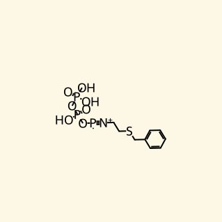 O=P(O)(O)OP(=O)(O)O[P]#[N+]CCSCc1ccccc1